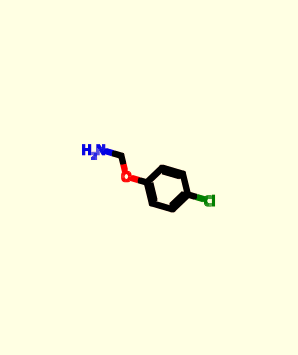 NCOc1ccc(Cl)cc1